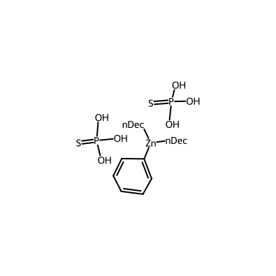 CCCCCCCCC[CH2][Zn]([CH2]CCCCCCCCC)[c]1ccccc1.OP(O)(O)=S.OP(O)(O)=S